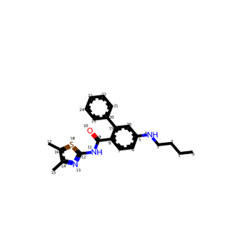 CCCCNc1ccc(C(=O)Nc2nc(C)c(C)s2)c(-c2ccccc2)c1